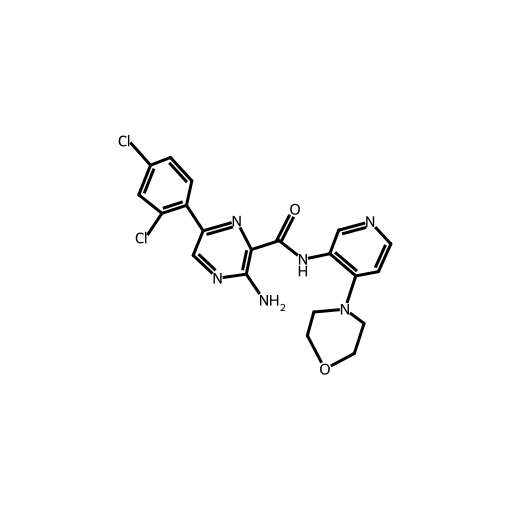 Nc1ncc(-c2ccc(Cl)cc2Cl)nc1C(=O)Nc1cnccc1N1CCOCC1